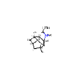 CN(CC(C)(C)C)C1(C)CC2(C)CC3CC(C)(C1)C3C2